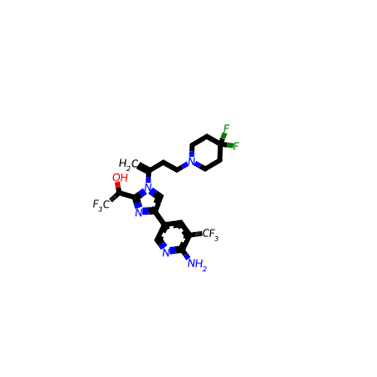 C=C(CCN1CCC(F)(F)CC1)n1cc(-c2cnc(N)c(C(F)(F)F)c2)nc1C(O)C(F)(F)F